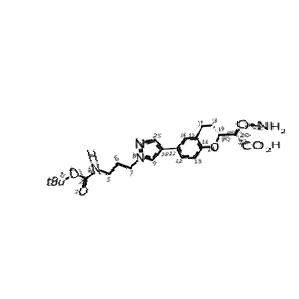 CC(C)(C)OC(=O)NCCCn1cc(-c2ccc3c(c2)CC[C@H]([C@H](ON)C(=O)O)O3)cn1